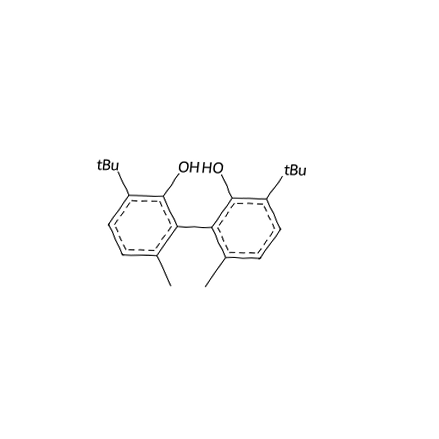 Cc1ccc(C(C)(C)C)c(O)c1-c1c(C)ccc(C(C)(C)C)c1O